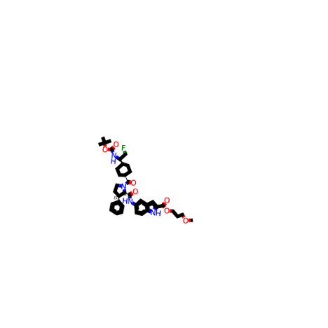 COCCCOC(=O)c1cc2cc(NC(=O)[C@@H]3[C@H](c4ccccc4)CCN3C(=O)[C@H]3CC[C@H](C(CF)NC(=O)OC(C)(C)C)CC3)ccc2[nH]1